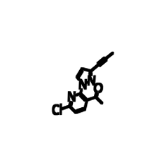 CC#Cc1ccn(-c2nc(Cl)ccc2C(C)=O)n1